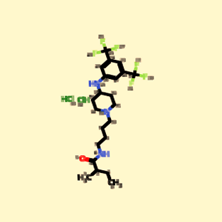 CCC(C)C(=O)NCCCCN1CCC(Nc2cc(C(F)(F)F)cc(C(F)(F)F)c2)CC1.Cl.Cl